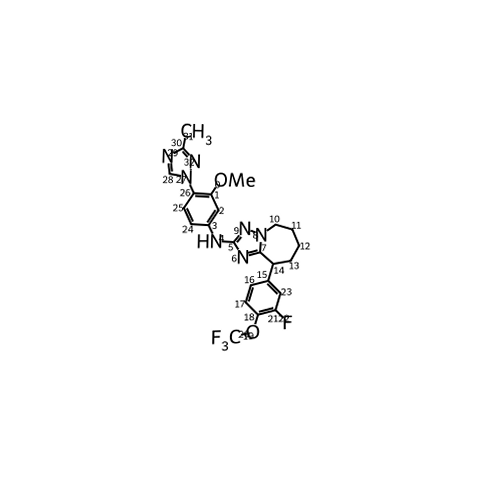 COc1cc(Nc2nc3n(n2)CCCCC3c2ccc(OC(F)(F)F)c(F)c2)ccc1-n1cnc(C)n1